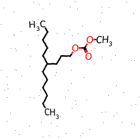 CCCCCCC(CCCCC)CCCOC(=O)OC